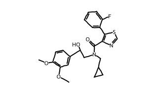 COc1ccc(C(O)CN(CC2CC2)C(=O)c2ncsc2-c2ccccc2F)cc1OC